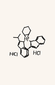 CC(C)C1=Cc2ccccc2[CH]1[Hf]1([CH]2C(C(C)C)=Cc3ccccc32)[CH]2CCCC[CH]21.Cl.Cl